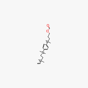 C=C[Si](C)(C)CC[Si](C)(C)c1ccc([Si](C)(C)CCCOC=O)cc1